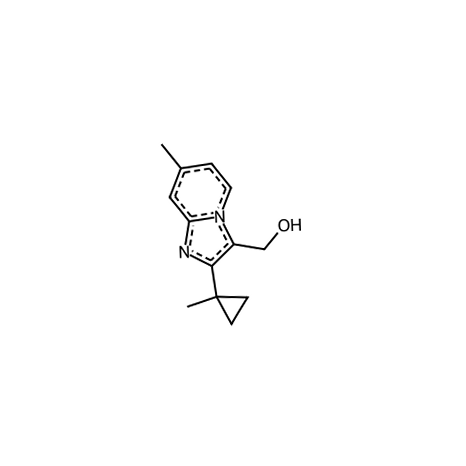 Cc1ccn2c(CO)c(C3(C)CC3)nc2c1